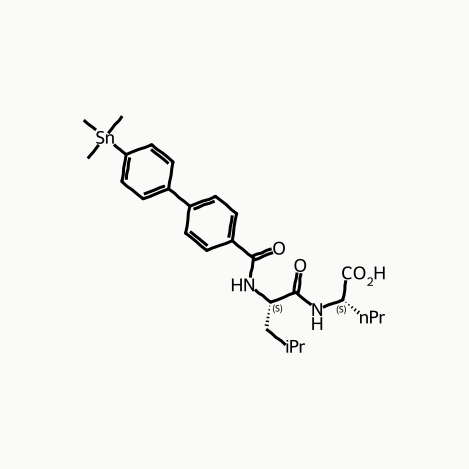 CCC[C@H](NC(=O)[C@H](CC(C)C)NC(=O)c1ccc(-c2cc[c]([Sn]([CH3])([CH3])[CH3])cc2)cc1)C(=O)O